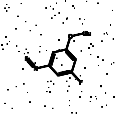 CC(C)(C)Oc1cc(F)cc(N=S)c1